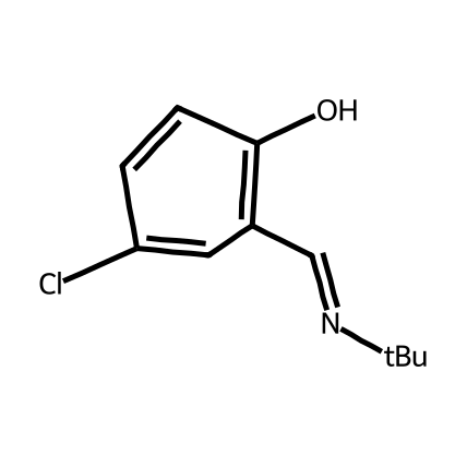 CC(C)(C)/N=C/c1cc(Cl)ccc1O